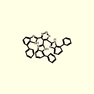 c1ccc(-c2cccc3nc(-c4nnnc(-c5nc6cccc(-c7ccccc7)c6[nH]5)c4-c4nc5cccc(-c6ccccc6)c5[nH]4)[nH]c23)cc1